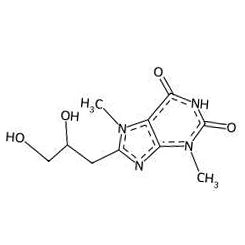 Cn1c(CC(O)CO)nc2c1c(=O)[nH]c(=O)n2C